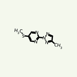 CSc1cnc(-n2ncc(C)n2)nc1